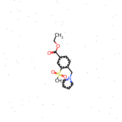 CCOC(=O)c1ccc(Cn2cccc2)c(S(C)(=O)=O)c1